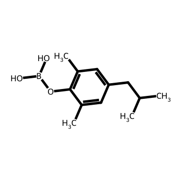 Cc1cc(CC(C)C)cc(C)c1OB(O)O